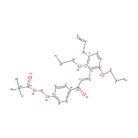 C=CCc1ccc(OCCC)c(C=CC(=O)c2ccc(OCOC(=O)C(C)(C)C)cc2)c1OCCC